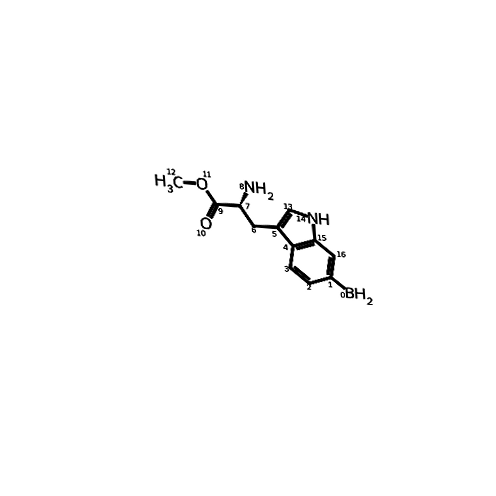 Bc1ccc2c(C[C@H](N)C(=O)OC)c[nH]c2c1